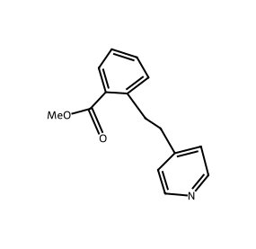 COC(=O)c1ccccc1CCc1ccncc1